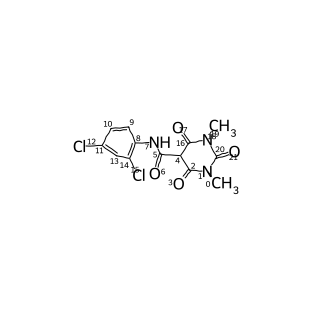 CN1C(=O)C(C(=O)Nc2ccc(Cl)cc2Cl)C(=O)N(C)C1=O